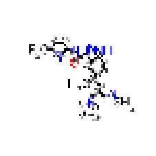 C=N/C=C(\C=C(/C)c1ccc2[nH]nc(C(=O)Nc3ccc(C(F)(F)F)nc3)c2c1)CN1CCCC1